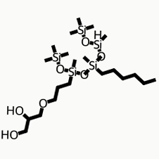 CCCCCC[Si](C)(O[SiH](C)O[Si](C)(C)C)O[Si](C)(CCCOCC(O)CO)O[Si](C)(C)C